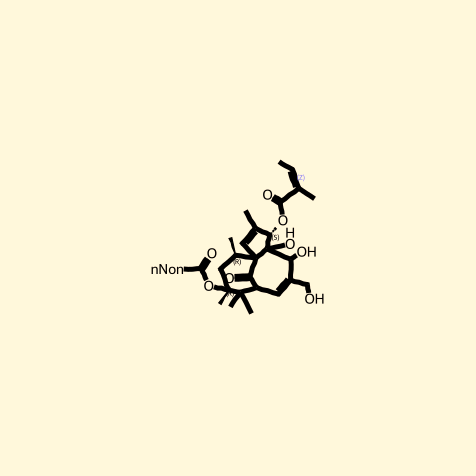 C/C=C(/C)C(=O)O[C@H]1C(C)=CC23C(=O)C(C=C(CO)C(O)C12O)C(C)(C)[C@](C)(OC(=O)CCCCCCCCC)C[C@H]3C